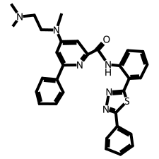 CN(C)CCN(C)c1cc(C(=O)Nc2ccccc2-c2nnc(-c3ccccc3)s2)nc(-c2ccccc2)c1